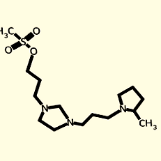 CC1CCCN1CCCN1CCN(CCCOS(C)(=O)=O)C1